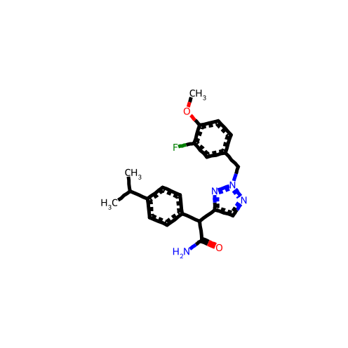 COc1ccc(Cn2ncc(C(C(N)=O)c3ccc(C(C)C)cc3)n2)cc1F